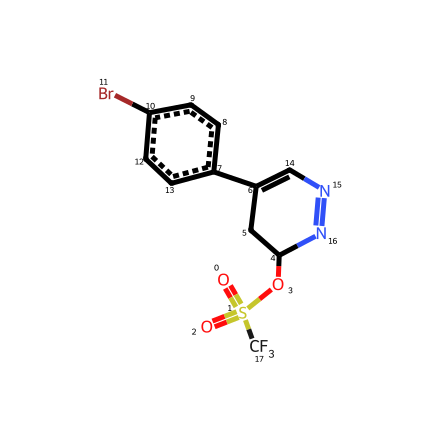 O=S(=O)(OC1CC(c2ccc(Br)cc2)=CN=N1)C(F)(F)F